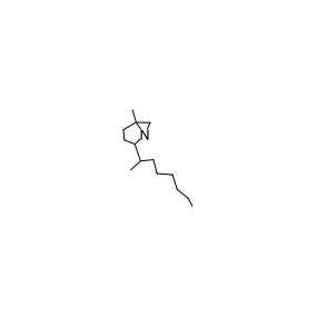 CCCCCCC(C)C1CCC2(C)CN12